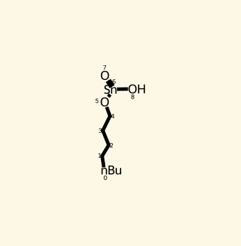 CCCCCCCC[O][Sn](=[O])[OH]